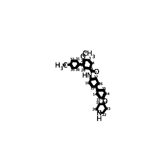 COc1ccc(C(=O)Nc2ccc(-c3ccc(OC4CCNCC4)cc3)cc2)cc1-c1ccc(C)cc1